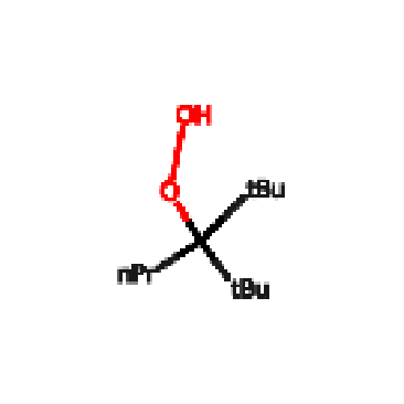 [CH2]CCC(OO)(C(C)(C)C)C(C)(C)C